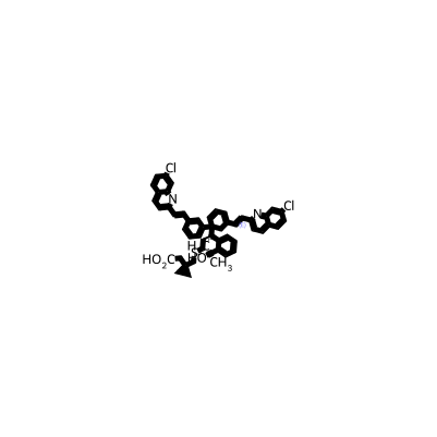 CC(C)(O)c1ccccc1[C@@H](CCSCC1(CC(=O)O)CC1)C1(c2cccc(C=Cc3ccc4ccc(Cl)cc4n3)c2)C=CC=C(/C=C/c2ccc3ccc(Cl)cc3n2)C1